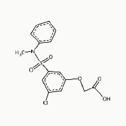 CN(c1ccccc1)S(=O)(=O)c1cc(Cl)cc(OCC(=O)O)c1